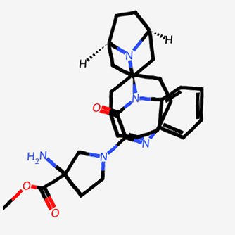 COC(=O)C1(N)CCN(c2nc3ccccc3n([C@H]3C[C@H]4CC[C@@H](C3)N4C3CCCCCCC3)c2=O)C1